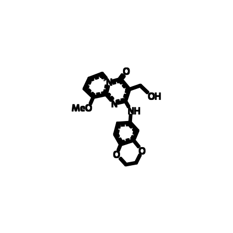 COc1cccn2c(=O)c(CO)c(Nc3ccc4c(c3)OCCO4)nc12